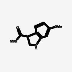 COC(=O)C1CNc2cc(OC)ccc21